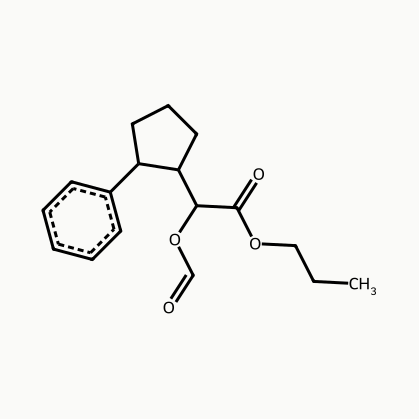 CCCOC(=O)C(OC=O)C1CCCC1c1ccccc1